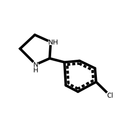 Clc1ccc(C2NCCN2)cc1